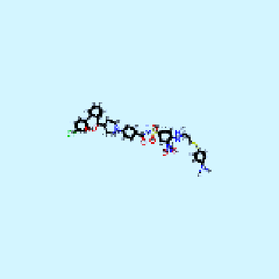 C[C@H](CCSc1ccc(N(C)C)cc1)Nc1ccc(S(=O)(=O)NC(=O)c2ccc(N3CCC(C(O)c4ccccc4-c4ccc(Cl)cc4)CC3)cc2)cc1[N+](=O)[O-]